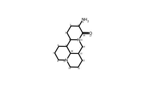 NC1CCC2C3CCCN4CCCC(CN2C1=O)C34